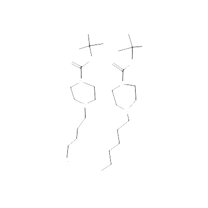 CC(C)(C)OC(=O)N1CCN(CCCCBr)CC1.CC(C)(C)OC(=O)N1CCN(CCCCCBr)CC1